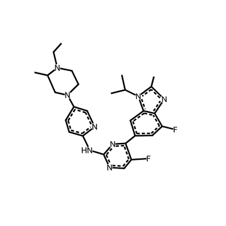 CCN1CCN(c2ccc(Nc3ncc(F)c(-c4cc(F)c5nc(C)n(C(C)C)c5c4)n3)nc2)CC1C